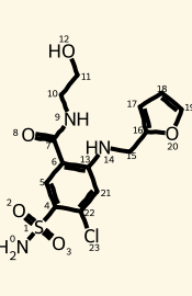 NS(=O)(=O)c1cc(C(=O)NCCO)c(NCc2ccco2)cc1Cl